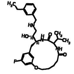 CCc1cccc(CNC[C@@H](O)[C@@H]2Cc3cc(F)cc(c3)OCCCCC(=O)NC(C(C)C)C(=O)N2)c1